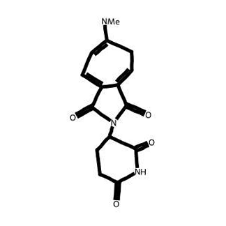 CNC1=CC=C2C(=O)N(C3CCC(=O)NC3=O)C(=O)C2=CC1